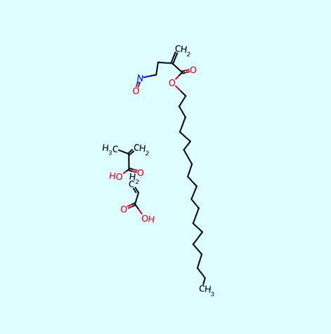 C=C(C)C(=O)O.C=C(CCN=O)C(=O)OCCCCCCCCCCCCCCCCCC.C=CC(=O)O